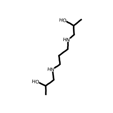 CC(O)CNCCCNCC(C)O